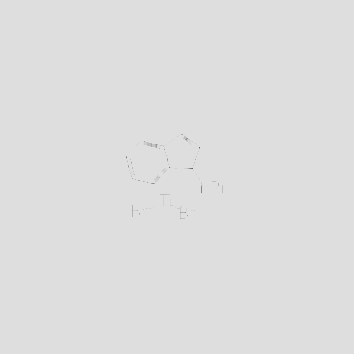 CCC[C]1C=Cc2ccccc21.[Br][Ti][Br]